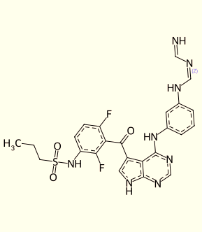 CCCS(=O)(=O)Nc1ccc(F)c(C(=O)c2c[nH]c3ncnc(Nc4cccc(N/C=N\C=N)c4)c23)c1F